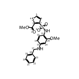 COC(=O)c1sccc1S(=O)(=O)Nc1ccc(NCc2ccccc2)cc1OC